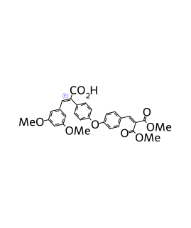 COC(=O)C(=Cc1ccc(Oc2ccc(/C(=C\c3cc(OC)cc(OC)c3)C(=O)O)cc2)cc1)C(=O)OC